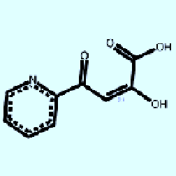 O=C(O)/C(O)=C\C(=O)c1ccccn1